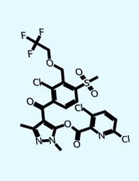 Cc1nn(C)c(OC(=O)c2nc(Cl)ccc2Cl)c1C(=O)c1ccc(S(C)(=O)=O)c(COCC(F)(F)F)c1Cl